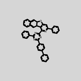 C1=c2ccccc2=CC2c3c(cc(-c4ccccc4)nc3-c3nc(-c4ccccc4)nc(-c4ccc(-c5ccccc5)cc4)n3)OC12